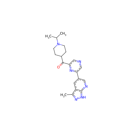 Cc1n[nH]c2ncc(-c3cncc(C(=O)C4CCN(C(C)C)CC4)n3)cc12